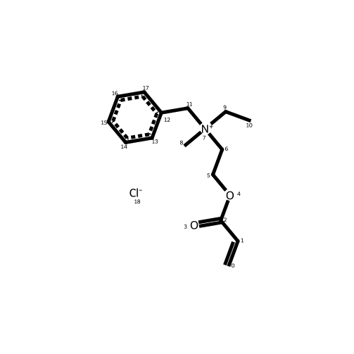 C=CC(=O)OCC[N+](C)(CC)Cc1ccccc1.[Cl-]